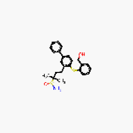 CC(C)(CCc1cc(-c2ccccc2)ccc1Sc1ccccc1CO)[S+](N)[O-]